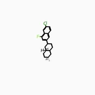 C[C@@H]1CC[C@@H]2CC(c3cc(F)c4cc(Cl)ccc4c3)CCC2C1